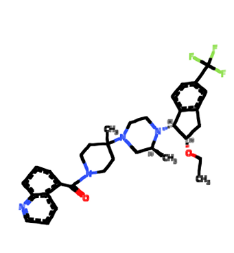 CCO[C@H]1Cc2cc(C(F)(F)F)ccc2[C@H]1N1CCN(C2(C)CCN(C(=O)c3cccc4ncccc34)CC2)C[C@@H]1C